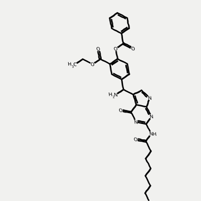 CCCCCCCC(=O)NC1=NC(=O)C2=C(C(N)c3ccc(OC(=O)c4ccccc4)c(C(=O)OCC)c3)C=NC2=N1